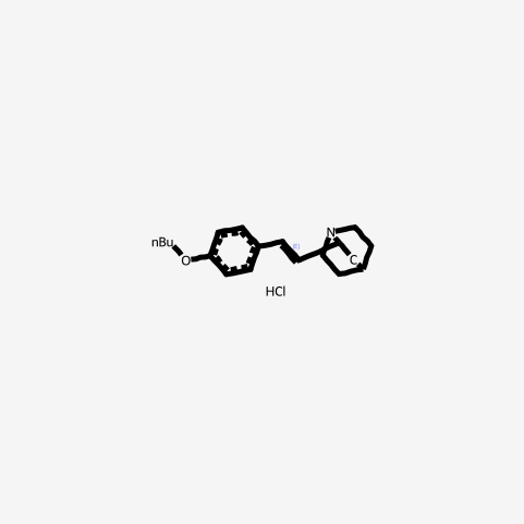 CCCCOc1ccc(/C=C/C2CC3CCN2CC3)cc1.Cl